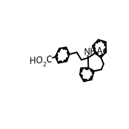 CC(=O)NC1(CCc2ccc(C(=O)O)cc2)c2ccccc2CCc2ccccc21